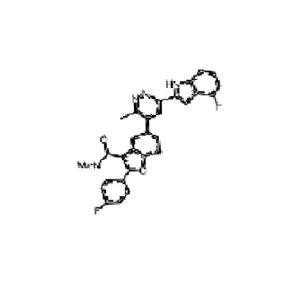 CNC(=O)c1c(-c2ccc(F)cc2)oc2ccc(-c3cc(-c4cc5c(F)cccc5[nH]4)nnc3C)cc12